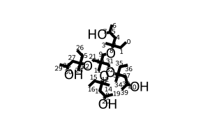 CCC(C)(CC(C)O)OCC(COC(C)(CC)CC(C)O)(COC(C)(CC)CC(C)O)COC(C)(CC)CC(C)O